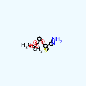 COCC(C)OC(=O)Cc1ccccc1OCc1cc(-c2ccnc(CN)c2)c2ccsc2c1